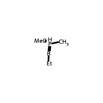 CCB=[PH](C)OC